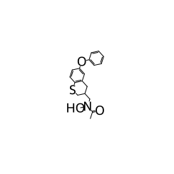 CC(=O)N(O)CC1CSc2ccc(Oc3ccccc3)cc2C1